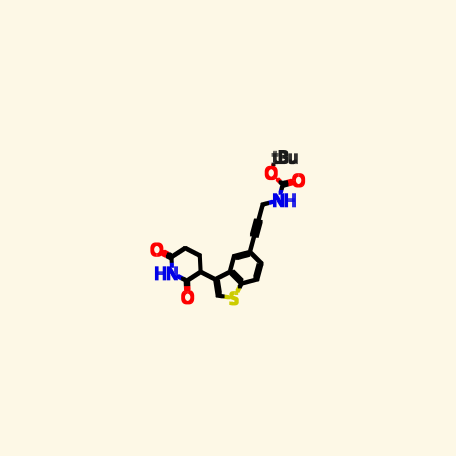 CC(C)(C)OC(=O)NCC#Cc1ccc2scc(C3CCC(=O)NC3=O)c2c1